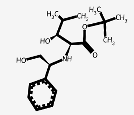 CC(C)[C@H](O)[C@H](N[C@H](CO)c1ccccc1)C(=O)OC(C)(C)C